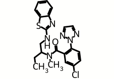 CCC(CNc1nc2ccccc2s1)N(C)C(=O)c1cc(Cl)ccc1-n1nccn1